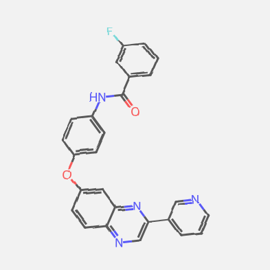 O=C(Nc1ccc(Oc2ccc3ncc(-c4cccnc4)nc3c2)cc1)c1cccc(F)c1